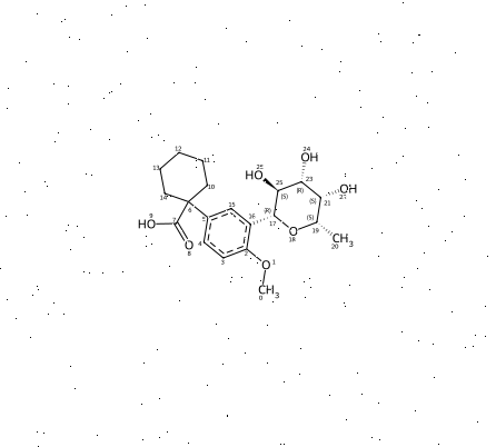 COc1ccc(C2(C(=O)O)CCCCC2)cc1[C@H]1O[C@@H](C)[C@@H](O)[C@@H](O)[C@@H]1O